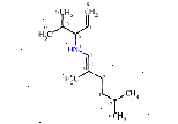 C=CC(N/C=C(\C)CCC(C)C)C(C)C